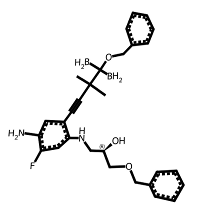 BC(B)(OCc1ccccc1)C(C)(C)C#Cc1cc(N)c(F)cc1NC[C@@H](O)COCc1ccccc1